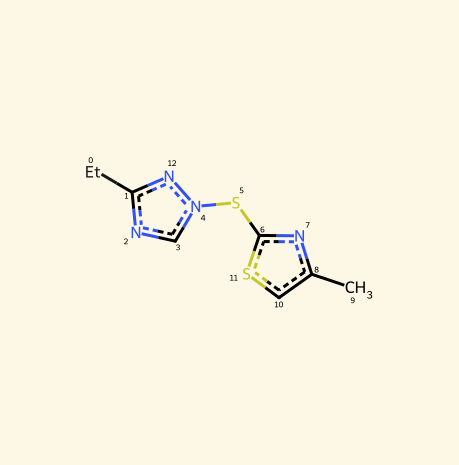 CCc1ncn(Sc2nc(C)cs2)n1